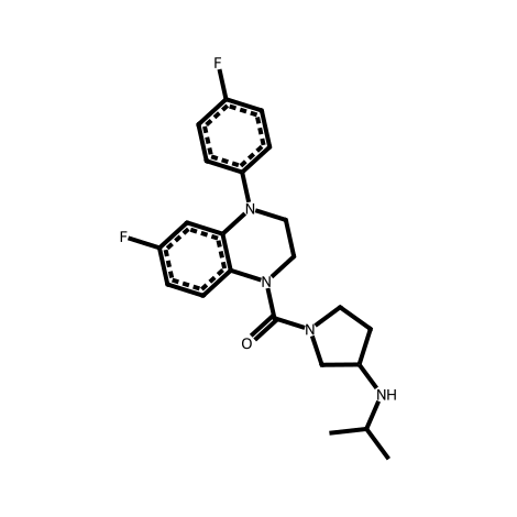 CC(C)NC1CCN(C(=O)N2CCN(c3ccc(F)cc3)c3cc(F)ccc32)C1